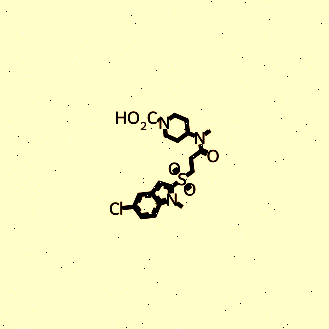 CN(C(=O)CCS(=O)(=O)c1cc2cc(Cl)ccc2n1C)C1CCN(C(=O)O)CC1